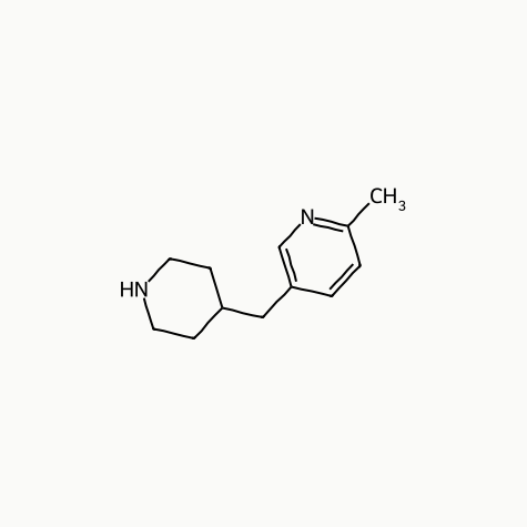 Cc1ccc(CC2CCNCC2)cn1